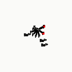 [Ba+2].[Ba+2].[Ba+2].[F][Zr-6]([F])([F])([F])([F])([F])([F])([F])([F])[F]